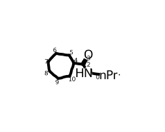 CC[CH]NC(=O)C1CCCCCC1